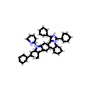 c1ccc(-c2ccc3c4cc5c6ccccc6n6c(-c7ccccc7)nc(-c7ccccc7)c6c5cc4n(-c4ccccn4)c3c2)cc1